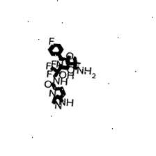 C[C@]1(C(N)=O)COc2c1cc([C@@](O)(CNC(=O)c1ccc3[nH]ncc3n1)C(F)(F)F)nc2-c1ccc(F)cc1